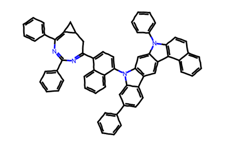 c1ccc(C2=N/C(c3ccccc3)=C3/CC3C/C(c3ccc(-n4c5cc(-c6ccccc6)ccc5c5cc6c7c8ccccc8ccc7n(-c7ccccc7)c6cc54)c4ccccc34)=N\2)cc1